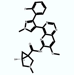 COc1cc2ncnc(-c3cn(C)nc3-c3ccccc3F)c2nc1NC(=O)C12C[C@@H]1CN(C)C2